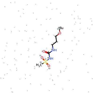 CC(C)(C)OCCCNC(=O)NS(C)(=O)=O